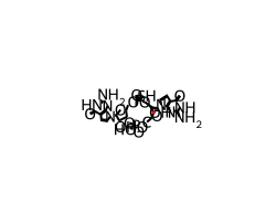 Nc1nc2c(ccn2C2OC3COP(=O)(S)OC4C(O)C(COP(=O)(O)OC3C2O)OC4n2ccc3c(=O)[nH]c(N)nc32)c(=O)[nH]1